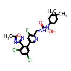 Cc1nc(-c2c(Cl)cc(Cl)cc2-c2cnc(CNC(=O)N(O)C3CCC(C)(C)CC3)c(F)c2)no1